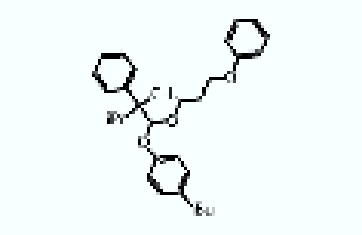 CCC(C)c1ccc(OC(OCCCOc2ccccc2)C(C)(c2ccccc2)C(C)C)cc1